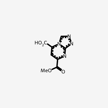 COC(=O)c1cc(C(=O)O)n2cnnc2n1